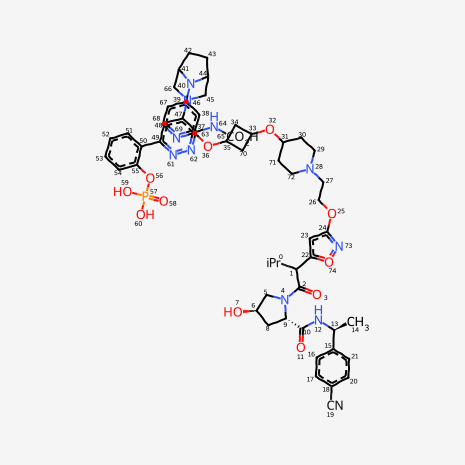 CC(C)C(C(=O)N1C[C@H](O)C[C@H]1C(=O)N[C@@H](C)c1ccc(C#N)cc1)c1cc(OCCN2CCC(OC3CC(Oc4cc(N5C6CCC5CN(c5cc(-c7ccccc7OP(=O)(O)O)nnc5NC(=O)O)C6)ccn4)C3)CC2)no1